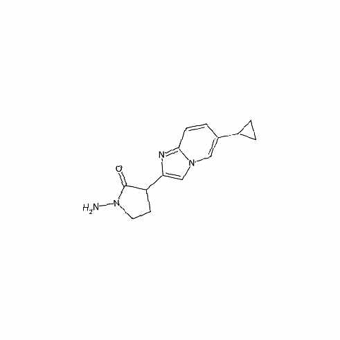 NN1CCC(c2cn3cc(C4CC4)ccc3n2)C1=O